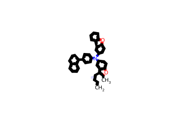 C=C/C=C\c1c(C)oc2ccc(N(c3ccc(-c4cccc5ccccc45)cc3)c3ccc4oc5ccccc5c4c3)cc12